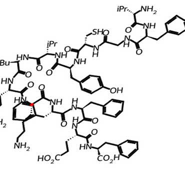 CC[C@H](C)[C@H](NC(=O)[C@@H](NC(=O)[C@H](Cc1ccc(O)cc1)NC(=O)[C@H](CS)NC(=O)CNC(=O)[C@H](Cc1ccccc1)NC(=O)[C@@H](N)C(C)C)C(C)C)C(=O)N[C@@H](CCC(N)=O)C(=O)N[C@@H](CCCCN)C(=O)N[C@@H](Cc1ccccc1)C(=O)N[C@@H](Cc1ccccc1)C(=O)N[C@@H](CCC(=O)O)C(=O)N[C@@H](Cc1ccccc1)C(=O)O